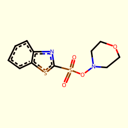 O=S(=O)(ON1CCOCC1)c1nc2ccccc2s1